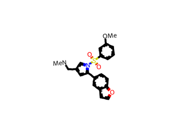 CNCc1cc(-c2ccc3occc3c2)n(S(=O)(=O)c2cccc(OC)c2)c1